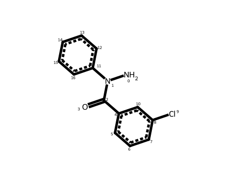 NN(C(=O)c1cccc(Cl)c1)c1ccccc1